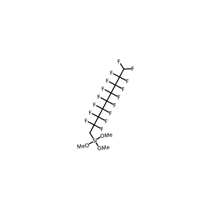 CO[Si](CC(F)(F)C(F)(F)C(F)(F)C(F)(F)C(F)(F)C(F)(F)C(F)(F)C(F)F)(OC)OC